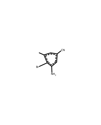 Cc1cc(C#N)cc(N)c1Br